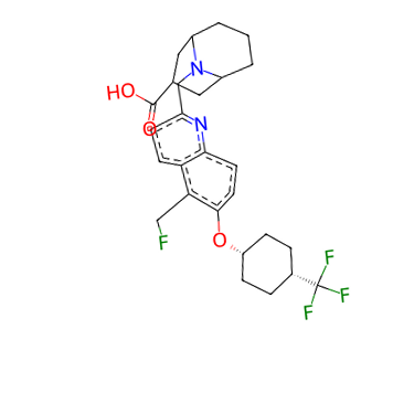 O=C(O)C1CC2CCCC(C1)N2Cc1ccc2c(CF)c(O[C@H]3CC[C@@H](C(F)(F)F)CC3)ccc2n1